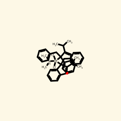 CC(C)C1=Cc2ccccc2[C]1(Cc1ccccc1)[Hf]([Cl])([Cl])([SiH](C)C)[C]1(Cc2ccccc2)C(C(C)C)=Cc2ccccc21